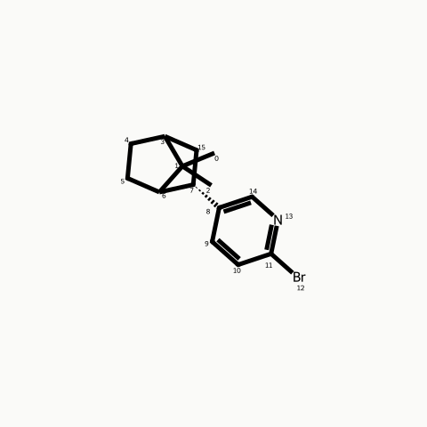 CC1(C)C2CCC1[C@@H](c1ccc(Br)nc1)C2